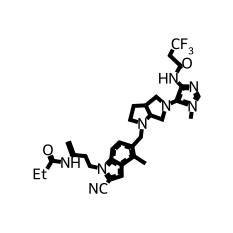 C=C(CCn1c(C#N)cc2c(C)c(CN3CCC4CN(c5c(NC(=O)CC(F)(F)F)ncn5C)CC43)ccc21)NC(=O)CC